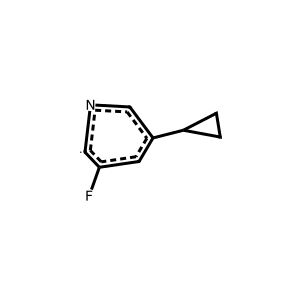 Fc1[c]ncc(C2CC2)c1